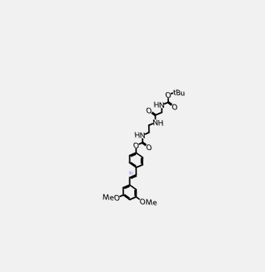 COc1cc(/C=C/c2ccc(OC(=O)NCCNC(=O)CNC(=O)OC(C)(C)C)cc2)cc(OC)c1